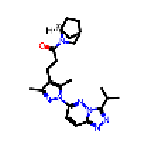 Cc1nn(-c2ccc3nnc(C(C)C)n3n2)c(C)c1CCC(=O)N1CC2CC[C@H]1C2